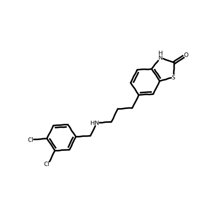 O=c1[nH]c2ccc(CCCNCc3ccc(Cl)c(Cl)c3)cc2s1